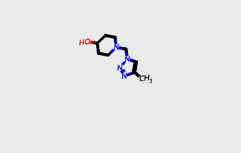 Cc1cn(CN2CCC(O)CC2)nn1